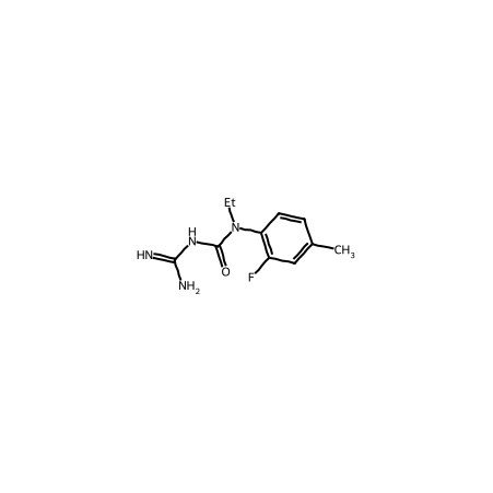 CCN(C(=O)NC(=N)N)c1ccc(C)cc1F